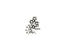 COc1cc(N(C)C(C)CN(C)C)c(N)cc1Nc1nccc(-c2c3n(c4ccccc24)CCOC3)n1